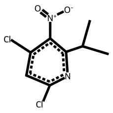 CC(C)c1nc(Cl)cc(Cl)c1[N+](=O)[O-]